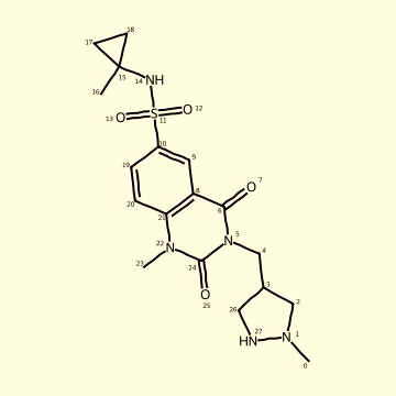 CN1CC(Cn2c(=O)c3cc(S(=O)(=O)NC4(C)CC4)ccc3n(C)c2=O)CN1